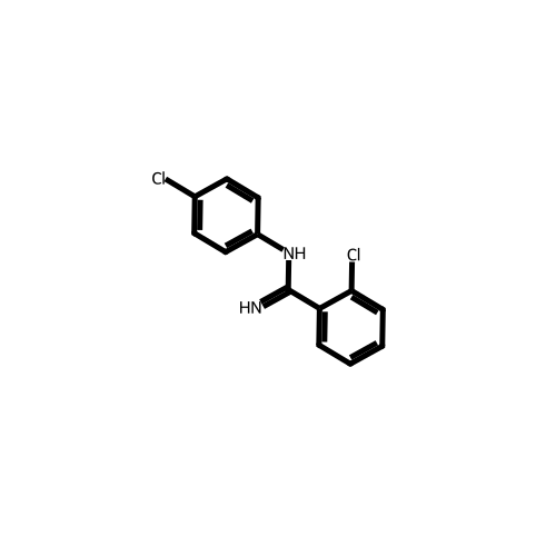 N=C(Nc1ccc(Cl)cc1)c1ccccc1Cl